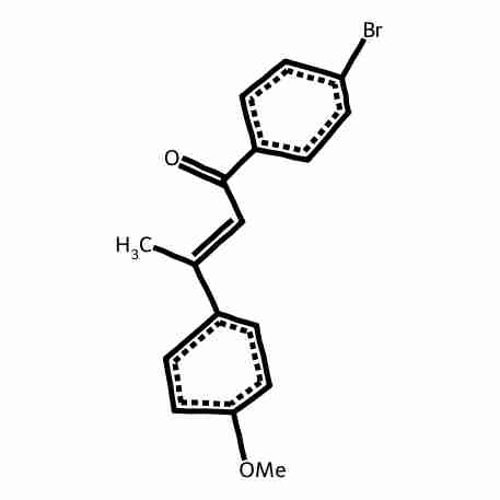 COc1ccc(/C(C)=C/C(=O)c2ccc(Br)cc2)cc1